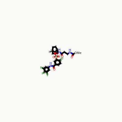 COC(=O)NCCC(=O)NC[C@@]1(O)C2CC[C@H]1C[C@H](S(=O)(=O)c1cc(C(=O)Nc3cc(F)c(F)c(F)c3)ccc1Cl)C2